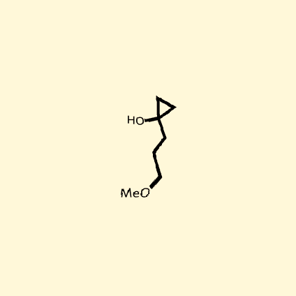 COCCCC1(O)CC1